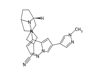 Cn1cc(-c2cc3c(N4CC5CC[C@H](C4)N5C4CC(CC#N)C4)ccnn3c2)cn1